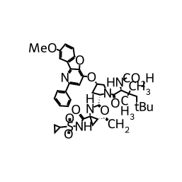 C=C[C@@H]1C[C@]1(NC(=O)[C@@H]1C[C@@H](Oc2cc(-c3ccccc3)nc3c2oc2ccc(OC)cc23)CN1C(=O)[C@@H](NC(=O)O)C(C)(C)CC(C)(C)C)C(=O)NS(=O)(=O)C1CC1